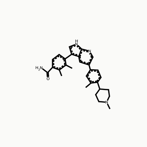 Cc1cc(-c2cnc3[nH]cc(-c4ccc(C(N)=O)c(C)c4C)c3c2)ccc1C1CCN(C)CC1